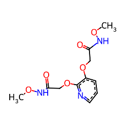 CONC(=O)COc1cccnc1OCC(=O)NOC